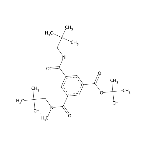 CN(CC(C)(C)C)C(=O)c1cc(C(=O)NCC(C)(C)C)cc(C(=O)OC(C)(C)C)c1